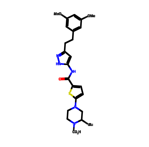 COc1cc(CCc2cc(NC(=O)c3ccc(N4CCN(C(=O)O)C(C(C)(C)C)C4)s3)[nH]n2)cc(OC)c1